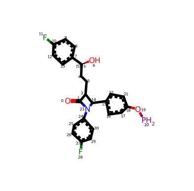 O=C1C(CC[C@H](O)c2ccc(F)cc2)C(c2ccc(OP)cc2)N1c1ccc(F)cc1